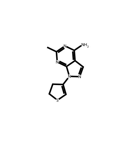 Cc1nc(N)c2cnn(C3=CSCC3)c2n1